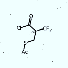 CC(=O)SC[C@@H](C(=O)Cl)C(F)(F)F